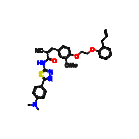 C=CCc1ccccc1OCCOc1ccc(/C=C(/C#N)C(=O)Nc2nnc(-c3ccc(N(C)C)cc3)s2)cc1OC